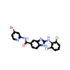 O=C(Nc1cc(Br)ccn1)c1ccc2[nH]c(Nc3c(Cl)cccc3Cl)nc2c1